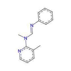 Cc1cccnc1N(C)C=Nc1ccccc1